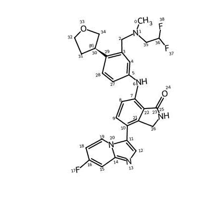 CN(Cc1cc(Nc2ccc(-c3cnc4cc(F)ccn34)c3c2C(=O)NC3)ccc1[C@H]1CCOC1)CC(F)F